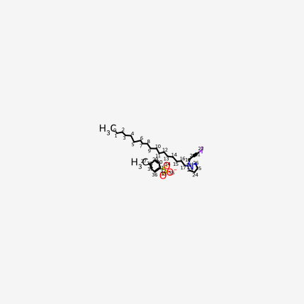 CCCCCCCCCCCCCCCCCC[N+]1(CC#CI)CCCC1.Cc1ccc(S(=O)(=O)[O-])cc1